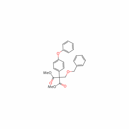 COC(=O)C(COCc1ccccc1)(C(=O)OC)c1ccc(Oc2ccccc2)cc1